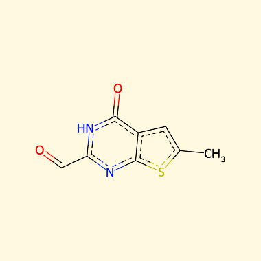 Cc1cc2c(=O)[nH]c(C=O)nc2s1